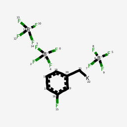 F[B-](F)(F)F.F[B-](F)(F)F.F[B-](F)(F)F.Fc1cccc([CH2][K])c1